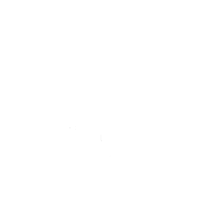 O=[SH](=O)C(=Cc1ccccc1)c1ccccc1